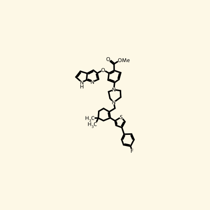 COC(=O)c1ccc(N2CCN(CC3=C(c4cc(-c5ccc(F)cc5)cs4)CC(C)(C)CC3)CC2)cc1Oc1cnc2[nH]ccc2c1